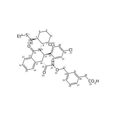 CCSN[C@H]1CCCC[C@@H]1N1C(=O)c2ccccc2[C@@H](C(=O)NOCc2cccc(CC(=O)O)c2)[C@@H]1c1ccc(Cl)cc1Cl